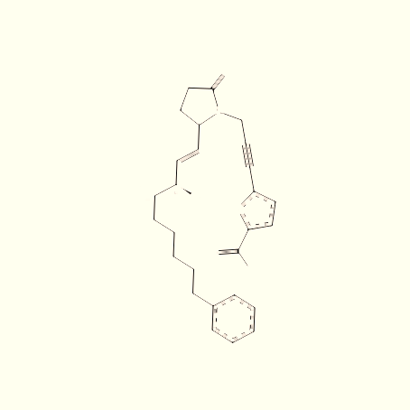 C[C@@H](CCCCCc1ccccc1)[C@H](O)C=CC1CCC(=O)N1CC#Cc1ccc(C(=O)O)s1